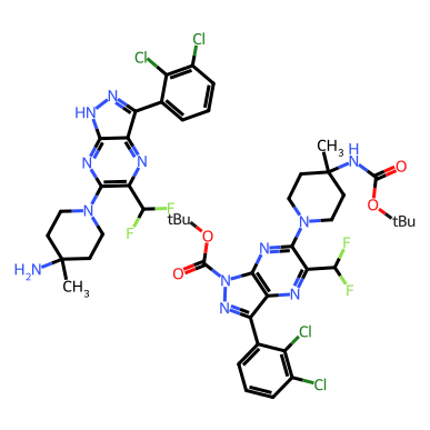 CC1(N)CCN(c2nc3[nH]nc(-c4cccc(Cl)c4Cl)c3nc2C(F)F)CC1.CC1(NC(=O)OC(C)(C)C)CCN(c2nc3c(nc2C(F)F)c(-c2cccc(Cl)c2Cl)nn3C(=O)OC(C)(C)C)CC1